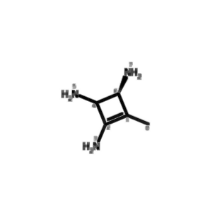 CC1=C(N)C(N)[C@H]1N